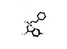 CC(C[Si](Cl)(Cl)CCC1CCCCC1)c1ccc(Cl)cc1